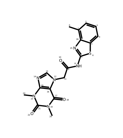 Cc1cccc2sc(NC(=O)Cn3cnc4c3c(=O)n(C)c(=O)n4C)nc12